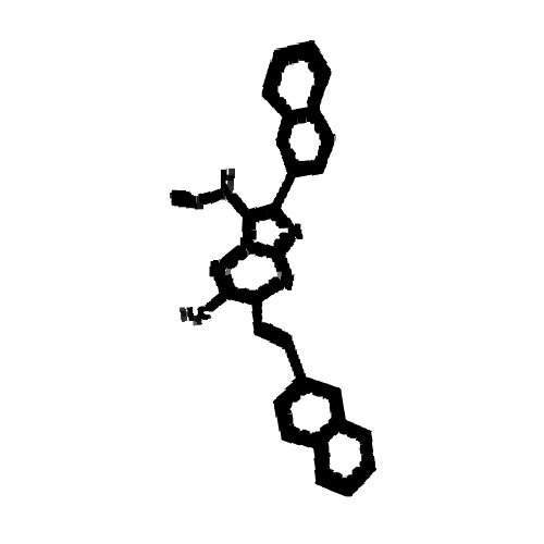 Cc1nn2c(NC(C)(C)C)c(-c3ccc4ccccc4c3)nc2nc1C=Cc1ccc2ccccc2c1